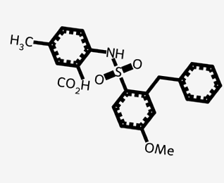 COc1ccc(S(=O)(=O)Nc2ccc(C)cc2C(=O)O)c(Cc2ccccc2)c1